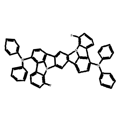 Fc1cccc2c3c(N(c4ccccc4)c4ccccc4)ccc4c5cc6c(cc5n(c12)c43)c1ccc(N(c2ccccc2)c2ccccc2)c2c3cccc(F)c3n6c12